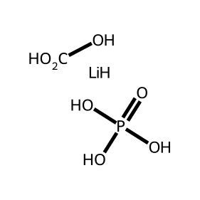 O=C(O)O.O=P(O)(O)O.[LiH]